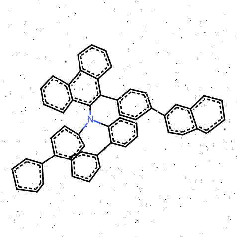 c1ccc(-c2ccc(N(c3ccccc3-c3ccccc3)c3c(-c4ccc(-c5ccc6ccccc6c5)cc4)c4ccccc4c4ccccc34)cc2)cc1